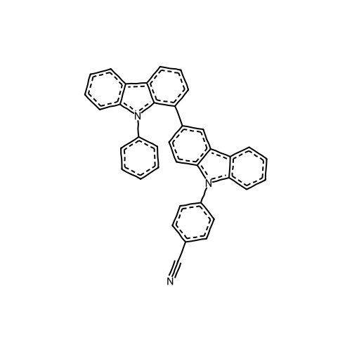 N#Cc1ccc(-n2c3ccccc3c3cc(-c4cccc5c6ccccc6n(-c6ccccc6)c45)ccc32)cc1